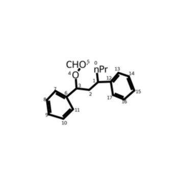 CCCC(CC(O[C]=O)c1ccccc1)c1ccccc1